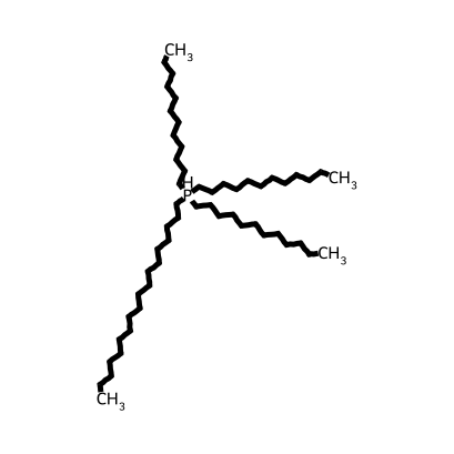 CCCCCCCCCCCCCCCCCC[PH](CCCCCCCCCCCC)(CCCCCCCCCCCC)CCCCCCCCCCCC